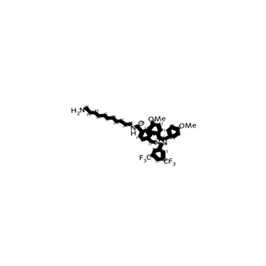 COc1ccc(-c2nc(-c3cc(C(F)(F)F)cc(C(F)(F)F)c3)n(Cc3ccc(C(=O)NCCCCCCCCCCCN)cc3)c2-c2ccc(OC)cc2)cc1